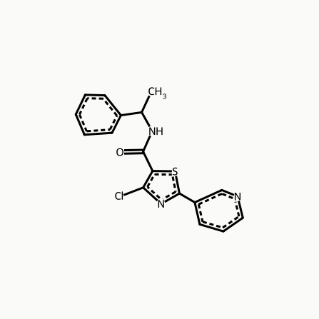 CC(NC(=O)c1sc(-c2cccnc2)nc1Cl)c1ccccc1